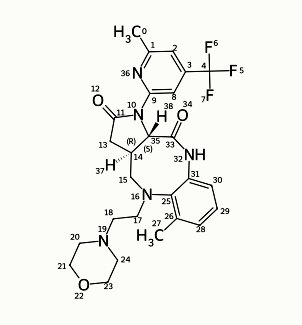 Cc1cc(C(F)(F)F)cc(N2C(=O)C[C@@H]3CN(CCN4CCOCC4)c4c(C)cccc4NC(=O)[C@H]32)n1